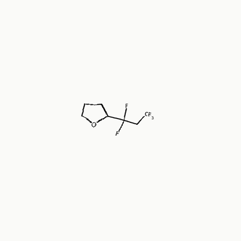 FC(F)(F)CC(F)(F)C1CCCO1